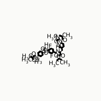 CCC(CC)OC(=O)[C@H](Cc1ccc(-n2c(=O)c(C)cn(C)c2=O)nc1)NC(=O)c1cc(F)c(NS(=O)(=O)c2ccc(NC(=O)C(C)(C)C)cc2)cc1F